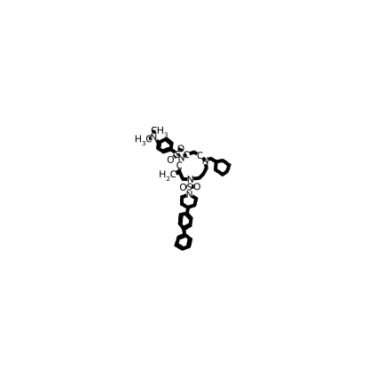 C=C1CN(S(=O)(=O)c2ccc(N(C)C)cc2)CCCN(CC2CCCCC2)CCCN(S(=O)(=O)N2CCC(c3ccc(-c4ccccc4)cc3)CC2)C1